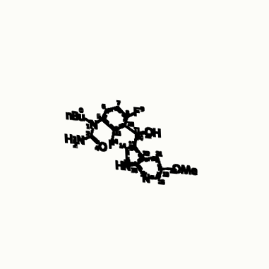 CCCCN(C(N)=O)c1ccc(F)c([C@@H](O)c2c[nH]c3ncc(OC)cc23)c1F